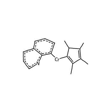 CC1=C(C)C(C)[C]([Cr][c]2cccc3cccnc23)=C1C